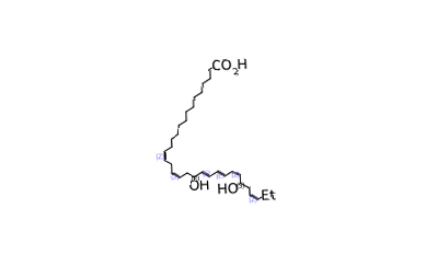 CC/C=C\C[C@H](O)\C=C/C=C/C=C/[C@H](O)C/C=C\C/C=C\CCCCCCCCCCCCC(=O)O